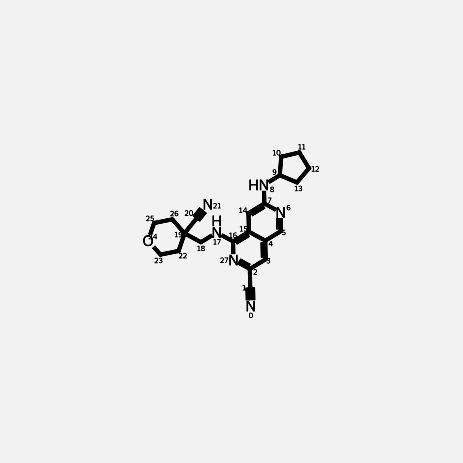 N#Cc1cc2cnc(NC3CCCC3)cc2c(NCC2(C#N)CCOCC2)n1